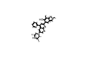 Cc1c(O)c(-c2cc(-c3ccccn3)c3cc(N4C[C@@H](C)N[C@H](C)C4)cnc3n2)cc2cn(C)nc12